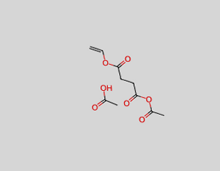 C=COC(=O)CCC(=O)OC(C)=O.CC(=O)O